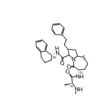 CN[C@@H](C)C(=O)N[C@H]1CCSC2CC(CCc3ccccc3)C(C(=O)N[C@@H]3CCCc4ccccc43)N2C1=O